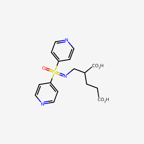 O=C(O)CCC(CN=S(=O)(c1ccncc1)c1ccncc1)C(=O)O